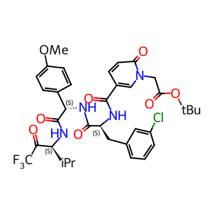 COc1ccc([C@H](NC(=O)[C@H](Cc2cccc(Cl)c2)NC(=O)c2ccc(=O)n(CC(=O)OC(C)(C)C)c2)C(=O)N[C@H](C(=O)C(F)(F)F)C(C)C)cc1